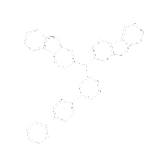 c1ccc(-c2ccc(-c3cccc(N(c4cnc5c(c4)oc4ccccc45)c4cnc5c(c4)oc4ccccc45)c3)cc2)cc1